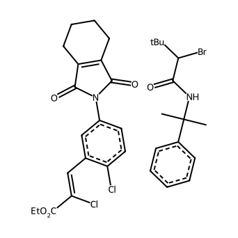 CC(C)(NC(=O)C(Br)C(C)(C)C)c1ccccc1.CCOC(=O)/C(Cl)=C/c1cc(N2C(=O)C3=C(CCCC3)C2=O)ccc1Cl